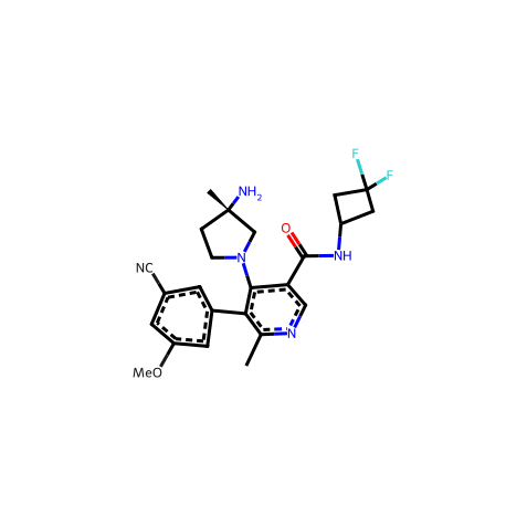 COc1cc(C#N)cc(-c2c(C)ncc(C(=O)NC3CC(F)(F)C3)c2N2CC[C@](C)(N)C2)c1